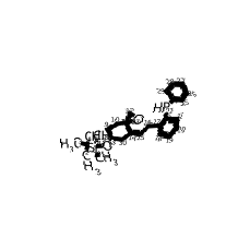 CC(C)(C)[Si](C)(C)O[C@H]1CCC2(CO2)/C(=C\Cc2ccccc2Pc2ccccc2)C1